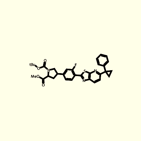 COC(=O)C1CC(c2ccc(-c3nc4ccc(C5(c6ccccc6)CC5)nc4s3)c(F)c2)CN1C(=O)OC(C)(C)C